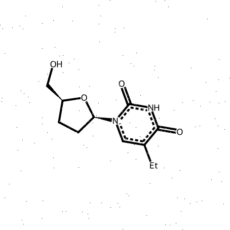 CCc1cn([C@H]2CC[C@@H](CO)O2)c(=O)[nH]c1=O